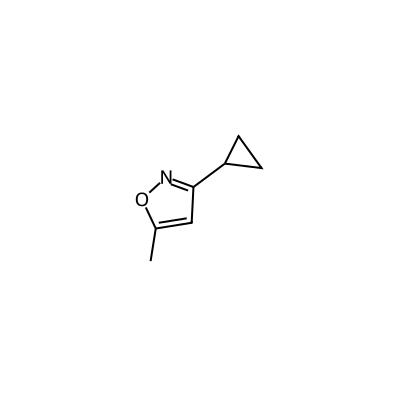 Cc1cc(C2CC2)no1